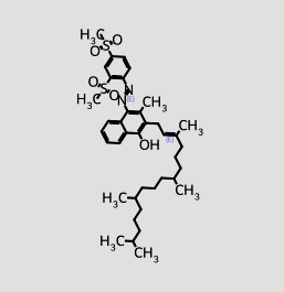 C/C(=C\Cc1c(C)c(/N=N/c2ccc(S(C)(=O)=O)cc2S(C)(=O)=O)c2ccccc2c1O)CCCC(C)CCCC(C)CCCC(C)C